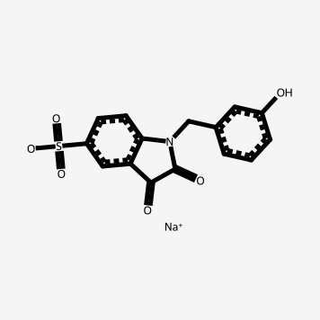 O=C1C(=O)N(Cc2cccc(O)c2)c2ccc(S(=O)(=O)[O-])cc21.[Na+]